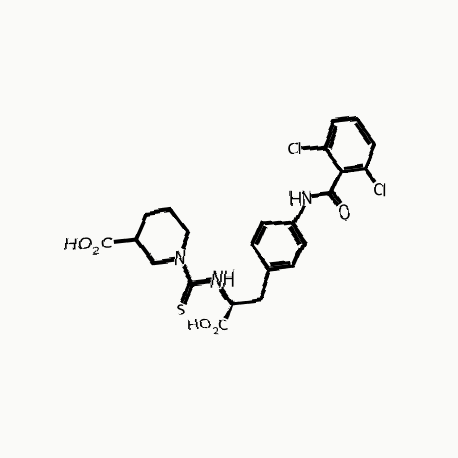 O=C(Nc1ccc(C[C@H](NC(=S)N2CCCC(C(=O)O)C2)C(=O)O)cc1)c1c(Cl)cccc1Cl